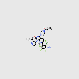 C=CC(=O)N1CCN(c2nc(=O)n(-c3c(C)ccnc3C(C)C)c3nc(-c4c(F)c(F)c(F)c(N)c4Cl)c(F)cc23)CC1